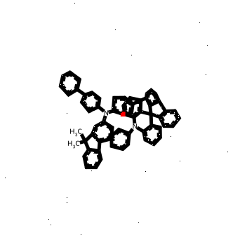 CC1(C)c2ccccc2-c2ccc(N(c3ccc(-c4ccccc4)cc3)c3ccc(-c4cccc5c4C4(c6ccccc6-5)c5ccccc5N(c5ccccc5)c5ccccc54)cc3)cc21